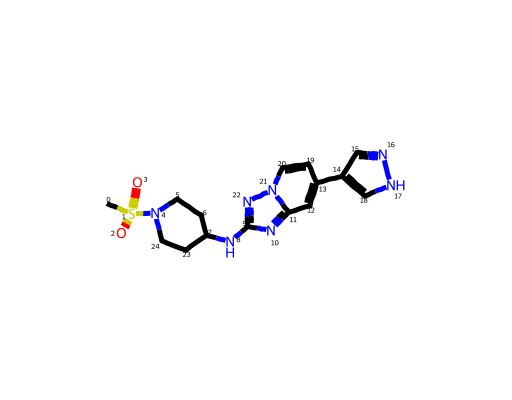 CS(=O)(=O)N1CCC(Nc2nc3cc(-c4cn[nH]c4)ccn3n2)CC1